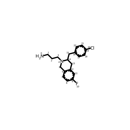 NCCCN1Cc2ccc(F)cc2CC1Cc1ccc(Cl)cc1